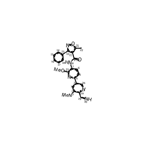 CNc1cc(-c2ccc(NC(=O)c3c(-c4ccccc4)noc3C)c(OC)n2)cnc1C=N